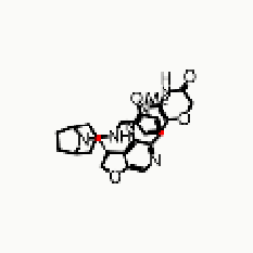 COc1ccc2ncc3c(c2n1)[C@H](CN1C2CCC1CC(NCc1ccc4c(n1)NC(=O)CO4)C2)CO3